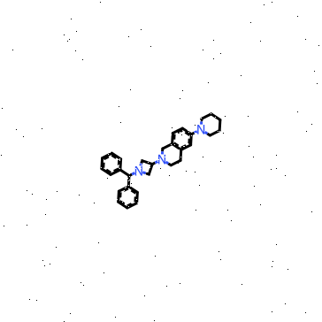 c1ccc(C(c2ccccc2)N2CC(N3CCc4cc(N5CCCCC5)ccc4C3)C2)cc1